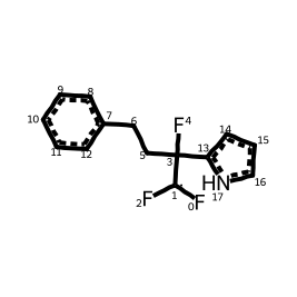 F[C](F)C(F)(CCc1ccccc1)c1ccc[nH]1